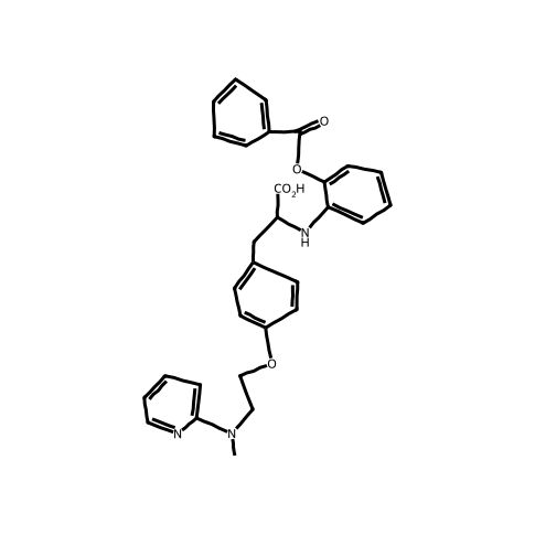 CN(CCOc1ccc(CC(Nc2ccccc2OC(=O)c2ccccc2)C(=O)O)cc1)c1ccccn1